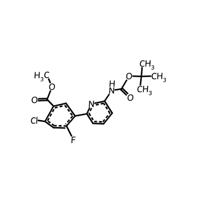 COC(=O)c1cc(-c2cccc(NC(=O)OC(C)(C)C)n2)c(F)cc1Cl